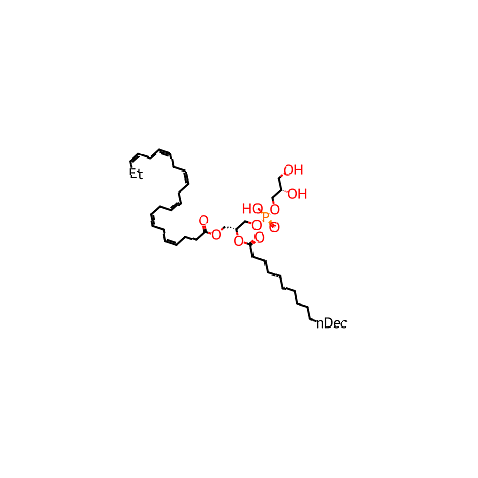 CC/C=C\C/C=C\C/C=C\C/C=C\C/C=C\C/C=C\CCC(=O)OC[C@H](COP(=O)(O)OC[C@@H](O)CO)OC(=O)CCCCCCCCCCCCCCCCCCC